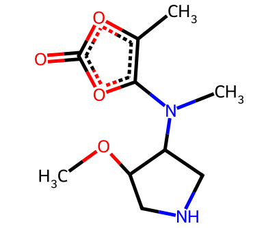 COC1CNCC1N(C)c1oc(=O)oc1C